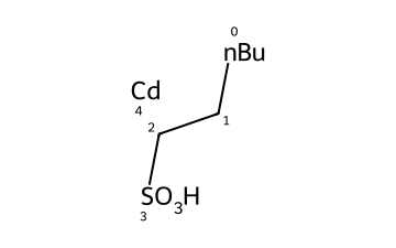 CCCCCCS(=O)(=O)O.[Cd]